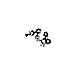 O=C1Nc2ccccc2C(c2ccccc2)=NC1Nc1nnc(-c2ncccc2-c2cnc(C3CC3)nc2)o1